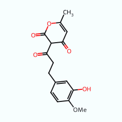 COc1ccc(CCC(=O)C2C(=O)C=C(C)OC2=O)cc1O